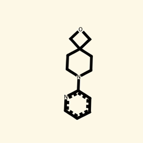 [c]1ccnc(N2CCC3(CC2)COC3)c1